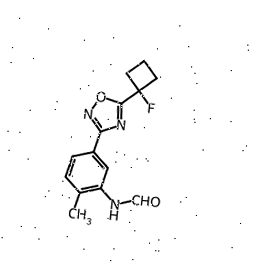 Cc1ccc(-c2noc(C3(F)CCC3)n2)cc1NC=O